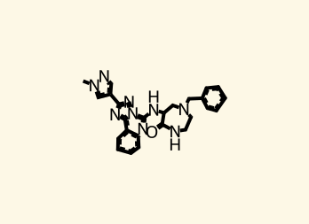 Cn1cc(-c2nc3c4ccccc4nc(NC4CN(Cc5ccccc5)CCNC4=O)n3n2)cn1